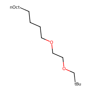 CCCCCCCCCCCCOCCOCC(C)(C)C